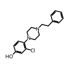 Oc1ccc(N2CCN(CCc3ccccc3)CC2)c(Cl)c1